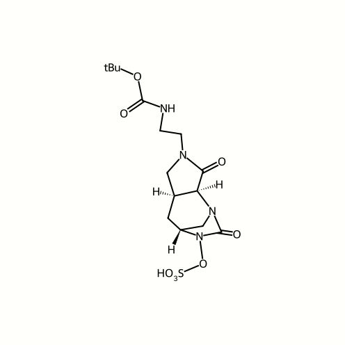 CC(C)(C)OC(=O)NCCN1C[C@@H]2C[C@@H]3CN(C(=O)N3OS(=O)(=O)O)[C@@H]2C1=O